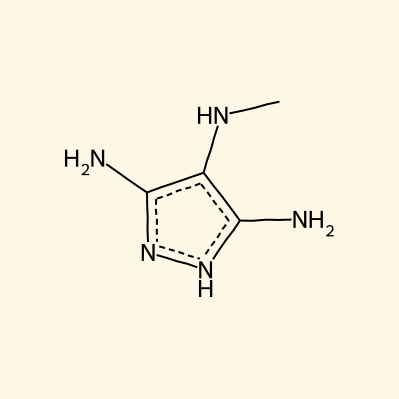 CNc1c(N)n[nH]c1N